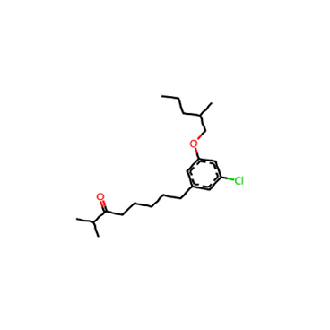 CCCC(C)COc1cc(Cl)cc(CCCCCC(=O)C(C)C)c1